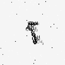 CCCCS(=O)(=O)NC(CC1COC(CN(C)C(=O)CN2CCC(NC(=O)Nc3ncccc3C)CC2)=N1)C(=O)O